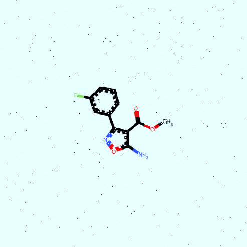 COC(=O)c1c(-c2cccc(F)c2)noc1N